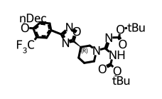 CCCCCCCCCCOc1ccc(-c2noc([C@@H]3CCCN(C(=NC(=O)OC(C)(C)C)NC(=O)OC(C)(C)C)C3)n2)cc1C(F)(F)F